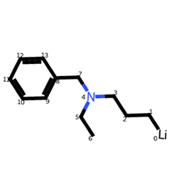 [Li][CH2]CCN(CC)Cc1ccccc1